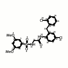 COc1cc(OC)cc(S(=O)(=O)NCC(=O)Nc2ccc(Cl)cc2Cc2ccccc2Cl)c1